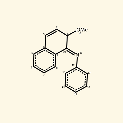 COC1C=Cc2ccccc2/C1=N\c1ccccc1